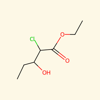 CCOC(=O)C(Cl)C(O)CC